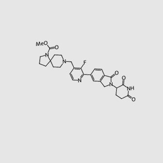 COC(=O)N1CCCC12CCN(Cc1ccnc(-c3ccc4c(c3)CN(C3CCC(=O)NC3=O)C4=O)c1F)CC2